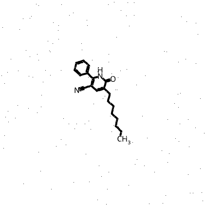 CCCCCCCCc1cc(C#N)c(-c2ccccc2)[nH]c1=O